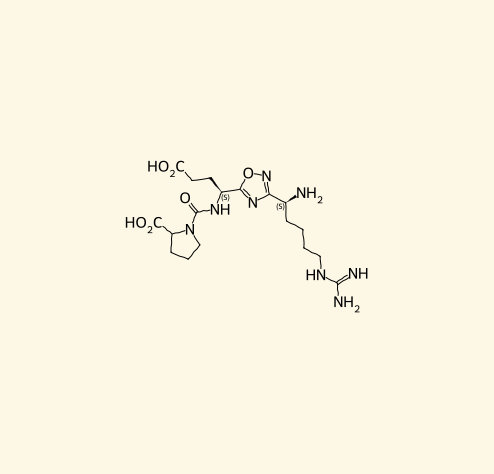 N=C(N)NCCCC[C@H](N)c1noc([C@H](CCC(=O)O)NC(=O)N2CCCC2C(=O)O)n1